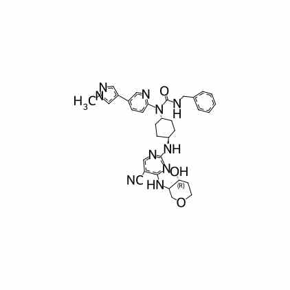 Cn1cc(-c2ccc(N(C(=O)NCc3ccccc3)[C@H]3CC[C@H](Nc4ncc(C#N)c(NC5COCC[C@H]5O)n4)CC3)nc2)cn1